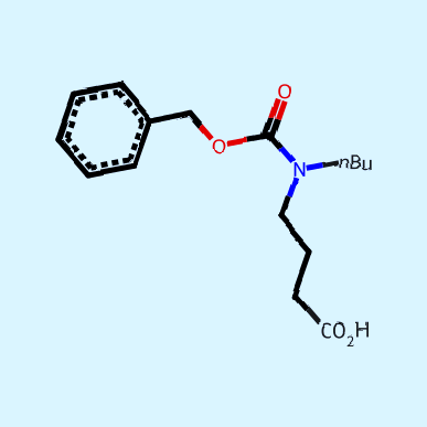 CCCCN(CCCC(=O)O)C(=O)OCc1ccccc1